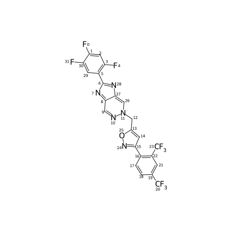 Fc1cc(F)c(-c2nc3cnn(Cc4cc(-c5ccc(C(F)(F)F)cc5C(F)(F)F)no4)cc-3n2)cc1F